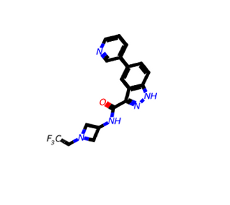 O=C(NC1CN(CC(F)(F)F)C1)c1n[nH]c2ccc(-c3cccnc3)cc12